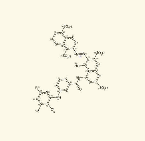 O=C(Nc1cc(S(=O)(=O)O)cc2cc(S(=O)(=O)O)c(/N=N/c3ccc4c(S(=O)(=O)O)cccc4c3S(=O)(=O)O)c(O)c12)c1cccc(Nc2nc(F)nc(F)c2Cl)c1